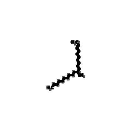 [CH2]C=CCCCCCCCC(C)CCCCCCCCC[CH2]